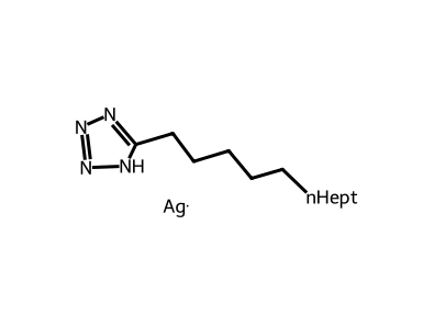 CCCCCCCCCCCCc1nnn[nH]1.[Ag]